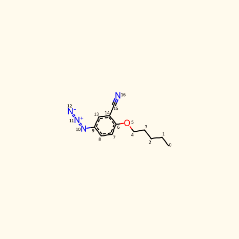 CCCCCOc1ccc(N=[N+]=[N-])cc1C#N